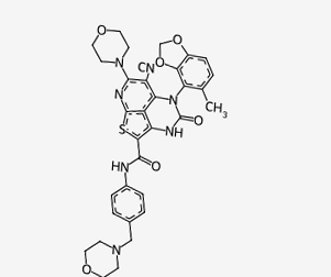 Cc1ccc2c(c1N1C(=O)Nc3c(C(=O)Nc4ccc(CN5CCOCC5)cc4)sc4nc(N5CCOCC5)c(C#N)c1c34)OCO2